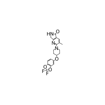 Cc1cc2c(nc1N1CCC(Oc3ccc4c(c3)OC(F)(F)O4)CC1)CNC2=O